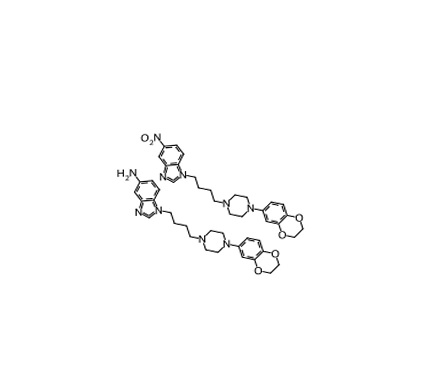 Nc1ccc2c(c1)ncn2CCCCN1CCN(c2ccc3c(c2)OCCO3)CC1.O=[N+]([O-])c1ccc2c(c1)ncn2CCCCN1CCN(c2ccc3c(c2)OCCO3)CC1